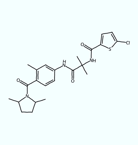 Cc1cc(NC(=O)C(C)(C)NC(=O)c2ccc(Cl)s2)ccc1C(=O)N1C(C)CCC1C